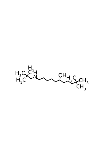 CC(C)(C)CCC[C@H](O)CCCCCNCC(C)(C)C